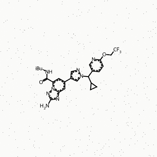 CC[C@H](C)NC(=O)c1cc(-c2cnn(C(c3ccc(OCC(F)(F)F)nc3)C3CC3)c2)cc2nc(N)nn12